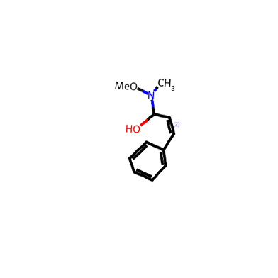 CON(C)C(O)/C=C\c1ccccc1